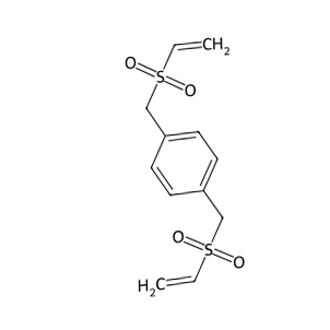 C=CS(=O)(=O)Cc1ccc(CS(=O)(=O)C=C)cc1